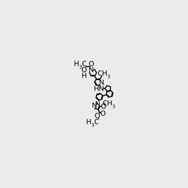 CCOC(=O)c1cnn(-c2cccc(-c3cccc4c3C(Nc3ccc(C5=CCN(C(=O)C(C)O)CC5)c(CC)n3)CC4)c2)c1OC